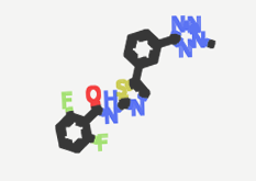 Cn1nnc(-c2cccc(-c3cnc(NC(=O)c4c(F)cccc4F)s3)c2)n1